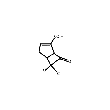 O=C(O)C1=CCC2C1C(=O)C2(Cl)Cl